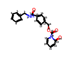 O=C(NCc1ccccc1)c1ccc(COC(=O)n2ccccc2=O)cc1